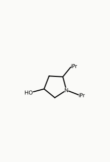 CC(C)C1CC(O)CN1C(C)C